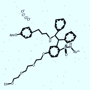 CCOCCOCCOCCOc1ccc(S(=O)(=O)[NH][Ru+4])c(C(c2ccccc2)[C@@H](NCCCc2ccc(OC)cc2)c2ccccc2)c1.[Cl-].[Cl-].[Cl-].[Cl-]